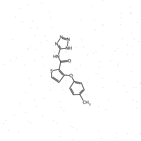 Cc1ccc(Oc2ccsc2C(=O)Nc2nnn[nH]2)cc1